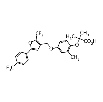 Cc1cc(OCc2cc(-c3ccc(C(F)(F)F)cc3)oc2C(F)(F)F)ccc1OC(C)(C)C(=O)O